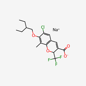 CCC(CC)COc1c(Cl)cc2c(c1C)OC(C(F)(F)F)C(C(=O)[O-])=C2.[Na+]